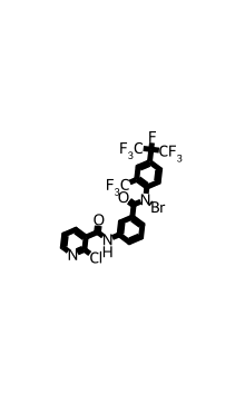 O=C(Nc1cccc(C(=O)N(Br)c2ccc(C(F)(C(F)(F)F)C(F)(F)F)cc2C(F)(F)F)c1)c1cccnc1Cl